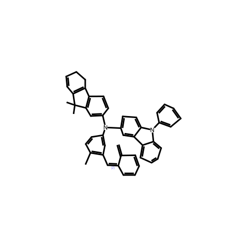 C=c1cccc/c1=C/c1cc(N(c2ccc3c(c2)C(C)(C)C2=C3CCC=C2)c2ccc3c(c2)c2ccccc2n3-c2ccccc2)ccc1C